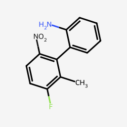 Cc1c(F)ccc([N+](=O)[O-])c1-c1ccccc1N